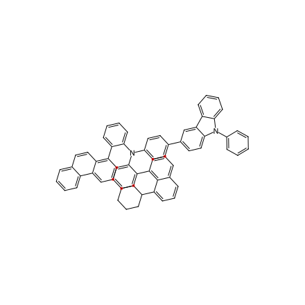 c1ccc(-n2c3ccccc3c3cc(-c4ccc(N(c5ccccc5-c5cccc6c5ccc5ccccc56)c5ccccc5-c5cccc6cccc(C7CCCCC7)c56)cc4)ccc32)cc1